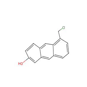 Oc1ccc2cc3c(CCl)cccc3cc2c1